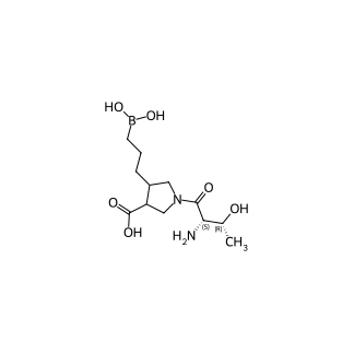 C[C@@H](O)[C@H](N)C(=O)N1CC(CCCB(O)O)C(C(=O)O)C1